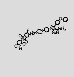 Nc1ncnc2c1c(-c1ccc(Oc3ccccc3)cc1)nn2[C@H]1CC[C@H](N2CCN(C3CN(c4cc5c(cc4F)C(=O)N([C@H]4CCC(=O)NC4=O)C5=O)C3)CC2)CC1